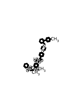 Cc1ccc(C2=CCCC=C2CN2CCN(c3ccc(C(=O)NS(=O)(=O)c4ccc(NC(C)(C)CS(=O)(=O)C5=CCCC=C5)c(C)c4)cc3)CC2)cc1